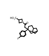 O=C(O)C1CN(C(=O)CC2(c3ccc(F)cc3)CCC3CC4CC3C2C4)C1